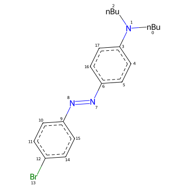 CCCCN(CCCC)c1ccc(N=Nc2ccc(Br)cc2)cc1